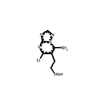 CCCCCCCCCCCc1c(CC)nc2ncnn2c1N